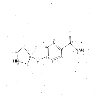 CNC(=O)c1ccc(O[C@]2(C)CCNC2)cn1